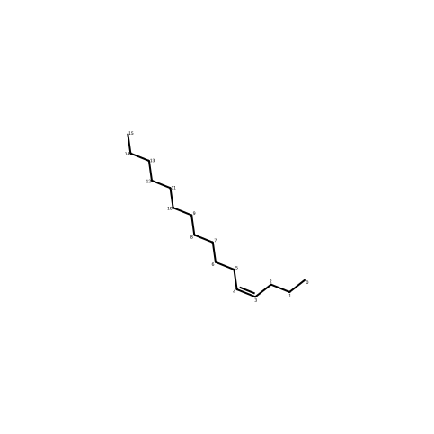 CCC/C=C\CCCCCCCCCCC